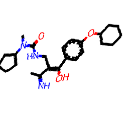 CC(=N)/C(CNC(=O)N(C)C1CCCC1)=C(\O)c1ccc(OC2CCCCC2)cc1